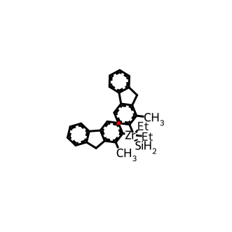 C[CH2][Zr](=[SiH2])([CH2]C)([c]1ccc2c(c1C)Cc1ccccc1-2)[c]1ccc2c(c1C)Cc1ccccc1-2